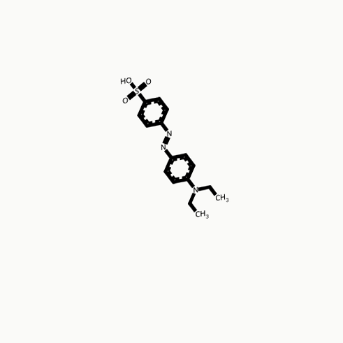 CCN(CC)c1ccc(N=Nc2ccc(S(=O)(=O)O)cc2)cc1